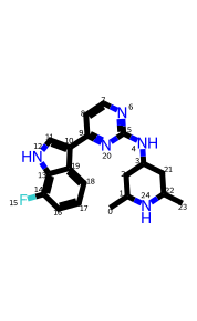 CC1CC(Nc2nccc(-c3c[nH]c4c(F)cccc34)n2)CC(C)N1